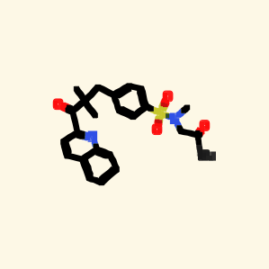 CN(CC(=O)C(C)(C)C)S(=O)(=O)c1ccc(CC(C)(C)C(=O)c2ccc3ccccc3n2)cc1